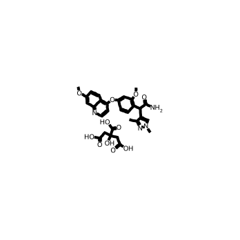 COc1ccc2c(Oc3ccc(C(C(N)=O)c4cn(C)nc4C)c(OC)c3)ccnc2c1.O=C(O)CC(O)(CC(=O)O)C(=O)O